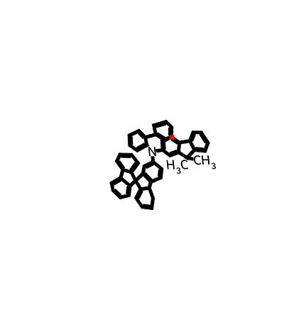 CC1(C)c2ccccc2-c2ccc(N(c3ccc4c(c3)C3(C5=CC=CCC54)c4ccccc4-c4ccccc43)c3ccccc3-c3ccccc3)cc21